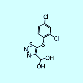 OC(O)c1nnsc1Sc1ccc(Cl)cc1Cl